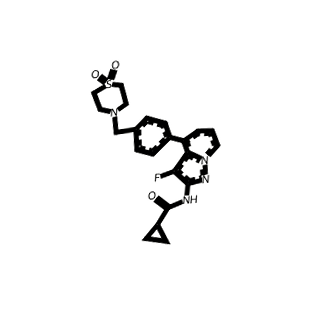 O=C(Nc1nn2cccc(-c3ccc(CN4CCS(=O)(=O)CC4)cc3)c2c1F)C1CC1